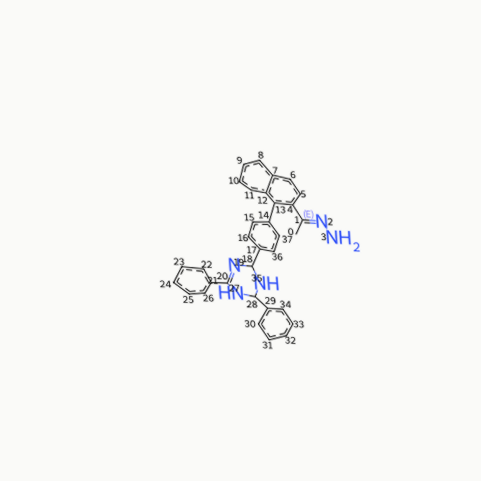 C/C(=N\N)c1ccc2ccccc2c1-c1ccc(C2N=C(c3ccccc3)NC(c3ccccc3)N2)cc1